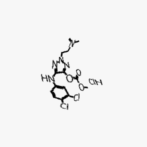 COC(=O)Oc1nn(CCN(C)C)nc1Nc1ccc(Cl)c(Cl)c1.Cl